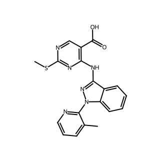 CSc1ncc(C(=O)O)c(Nc2nn(-c3ncccc3C)c3ccccc23)n1